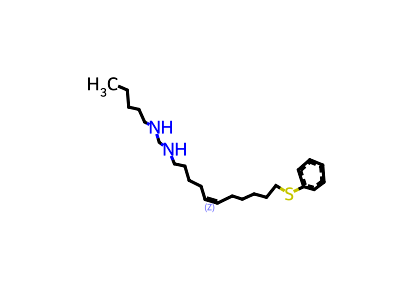 CCCCCNCNCCCC/C=C\CCCCCSc1ccccc1